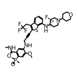 CNC(=O)c1cc(NCC#Cc2sc3c(N[C@@H]4CCN(C5CCOCC5)C[C@@H]4F)cccc3c2CC(F)(F)F)c(OC)cc1P(C)(C)=O